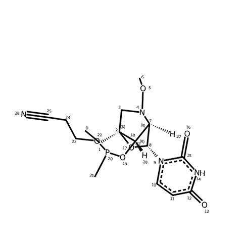 CC[C@@]12CN(OC)[C@@H]([C@H](n3ccc(=O)[nH]c3=O)O1)[C@@H]2OP(C)OCCC#N